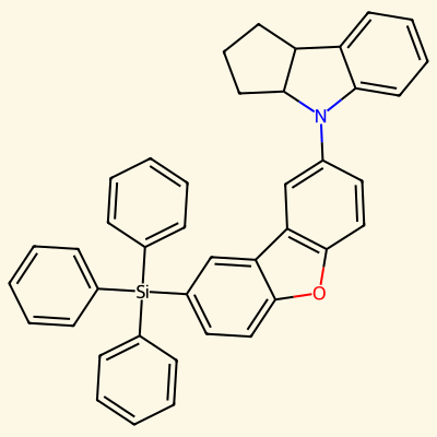 c1ccc([Si](c2ccccc2)(c2ccccc2)c2ccc3oc4ccc(N5c6ccccc6C6CCCC65)cc4c3c2)cc1